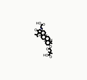 CC(C)C1=C2[C@H]3CCC4[C@@]5(C)CC[C@H](OC(=O)CC(C)(C)C(=O)O)C(C)(C)[C@@H]5CC[C@@]4(C)[C@]3(C)CC[C@@]2(/C=C/C(=O)O)CC1=O